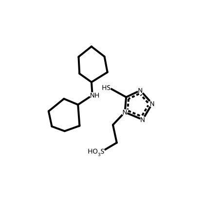 C1CCC(NC2CCCCC2)CC1.O=S(=O)(O)CCn1nnnc1S